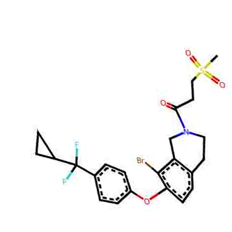 CS(=O)(=O)CCC(=O)N1CCc2ccc(Oc3ccc(C(F)(F)C4CC4)cc3)c(Br)c2C1